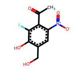 CC(=O)c1c([N+](=O)[O-])cc(CO)c(O)c1F